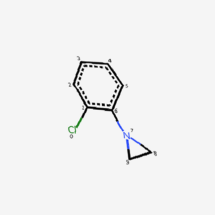 Clc1ccccc1N1CC1